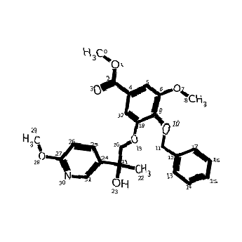 COC(=O)c1cc(OC)c(OCc2ccccc2)c(OCC(C)(O)c2ccc(OC)nc2)c1